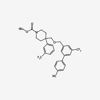 CC(C)(C)OC(=O)N1CCC(COCc2cc(-c3ccc(C#N)cc3)cc(C(F)(F)F)c2)(c2cccc(C(F)(F)F)c2)CC1